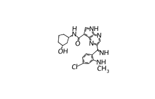 CNc1cc(Cl)ccc1C(=N)c1cnc2[nH]cc(C(=O)N[C@@H]3CCC[C@H](O)C3)c2n1